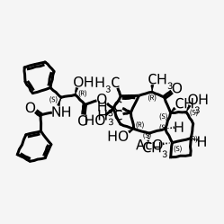 CC(=O)O[C@@]12CC[C@@H]1C[C@H](O)[C@@]1(C)C(=O)[C@H](C)C3=C(C)C(O)(OC(=O)[C@H](O)[C@@H](NC(=O)c4ccccc4)c4ccccc4)C[C@@](O)([C@@H](C)[C@H]21)C3(C)C